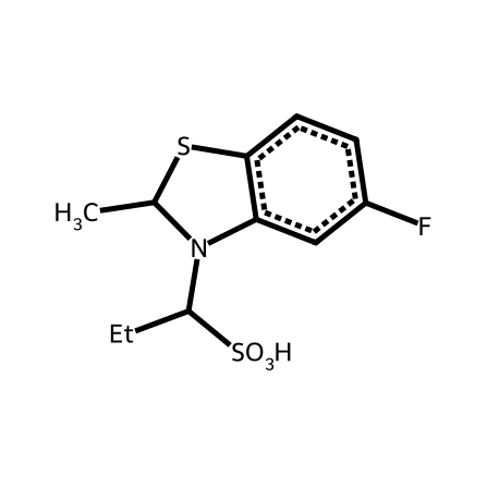 CCC(N1c2cc(F)ccc2SC1C)S(=O)(=O)O